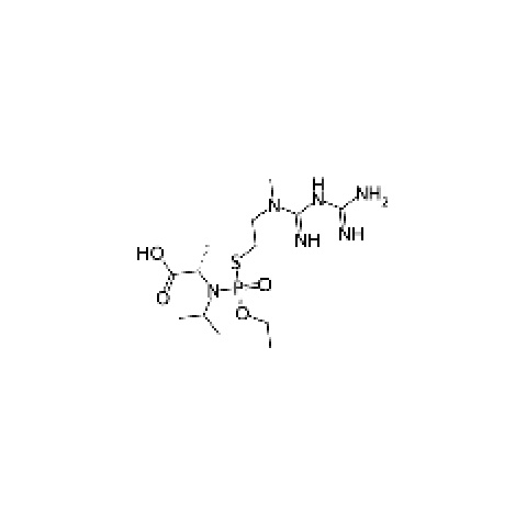 CCO[P@@](=O)(SCCN(C)C(=N)NC(=N)N)N(C(C)C)[C@@H](C)C(=O)O